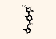 CC1=NCC=C1CNc1ccc(-c2cc(C(F)(F)F)nn2C)c(F)c1